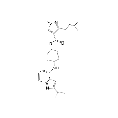 CC(F)CCc1nn(C)cc1C(=O)NC1CCC(Nc2cccc3nc(C(C)C)cn23)CC1